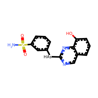 NS(=O)(=O)c1cccc([AsH]c2ncc3cccc(O)c3n2)c1